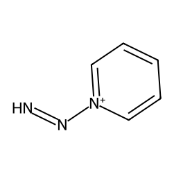 N=N[n+]1ccccc1